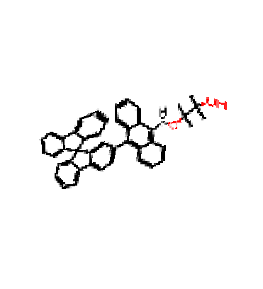 CC(C)(O)C(C)(C)OBc1c2ccccc2c(-c2ccc3c(c2)C2(c4ccccc4-c4ccccc42)c2ccccc2-3)c2ccccc12